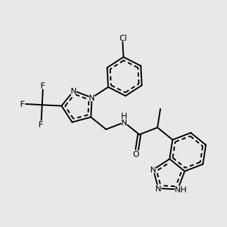 CC(C(=O)NCc1cc(C(F)(F)F)nn1-c1cccc(Cl)c1)c1cccc2[nH]nnc12